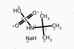 CC(C)(C)NS(=O)(=O)O.[NaH]